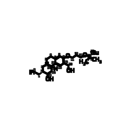 CC(C)C[C@@H]1CN2CCc3cc(OCCCO[Si](C)(C)C(C)(C)C)c(CO)cc3[C@H]2CC1O